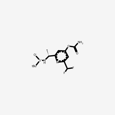 C[C@@H](N[S+]([O-])C(C)(C)C)c1cc(OC(N)=O)cc(C(F)F)n1